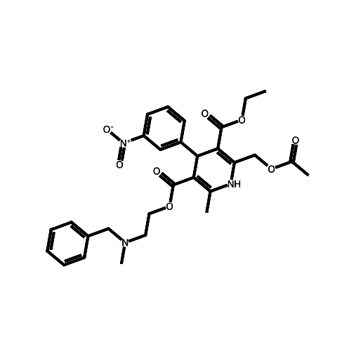 CCOC(=O)C1=C(COC(C)=O)NC(C)=C(C(=O)OCCN(C)Cc2ccccc2)C1c1cccc([N+](=O)[O-])c1